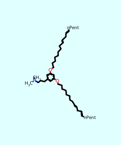 CCCCCC=CCC=CCCCCCCCCOc1cc(CCCN(C)C)cc(OCCCCCCCCC=CCC=CCCCCC)c1